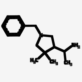 CC(N)C1CN(Cc2ccccc2)CC1(C)C